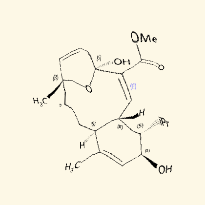 COC(=O)/C1=C/[C@@H]2[C@H](C(C)C)[C@@H](O)C=C(C)[C@H]2C[C][C@]2(C)C=C[C@]1(O)O2